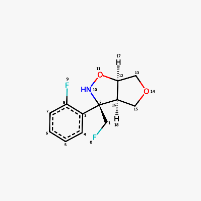 FC[C@@]1(c2ccccc2F)NO[C@H]2COC[C@H]21